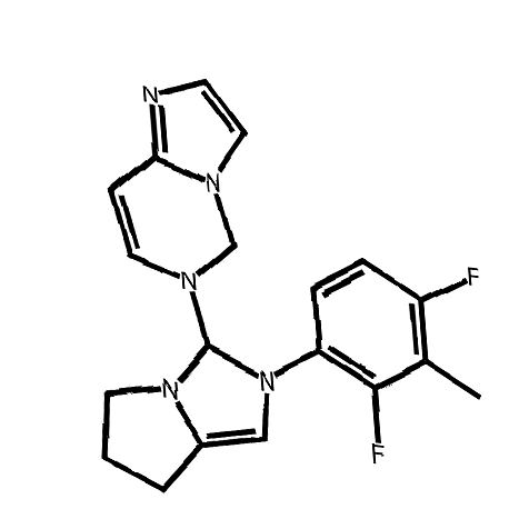 Cc1c(F)ccc(N2C=C3CCCN3C2N2C=Cc3nccn3C2)c1F